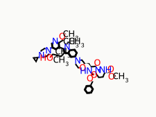 CCn1c(-c2cc(N3CCN(C4CC4)CC3)cnc2[C@H](C)OC)c(CC(C)(C)CO)c2cc(N3CCO[C@@H](C[C@H](NC(=O)OCc4ccccc4)C(=O)N4CCC[C@@H](C(=O)OC)N4)C3)ccc21